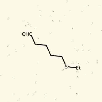 CCSCCCC[C]=O